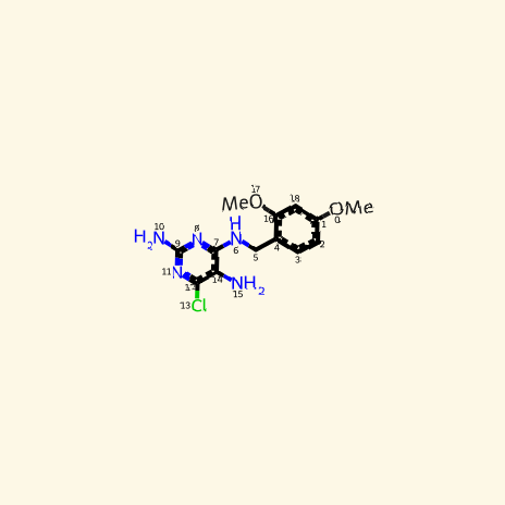 COc1ccc(CNc2nc(N)nc(Cl)c2N)c(OC)c1